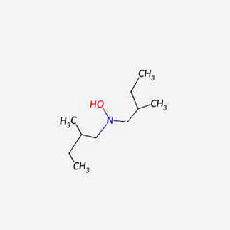 CCC(C)CN(O)CC(C)CC